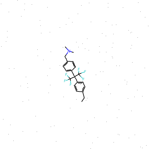 CCc1ccc(C(c2ccc(CN(C)C)cc2)(C(F)(F)F)C(F)(F)F)cc1